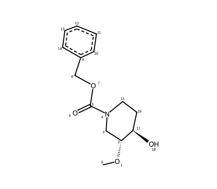 CO[C@@H]1CN(C(=O)OCc2ccccc2)CC[C@H]1O